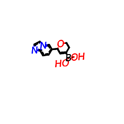 OB(O)C1=CC(c2ccc3nccn3c2)OCC1